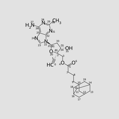 C#C[C@]1(COC(=O)CCCC23CC4CC(CC(C4)C2)C3)O[C@@H](n2cnc3c(N)nc(C)nc32)C[C@@H]1O